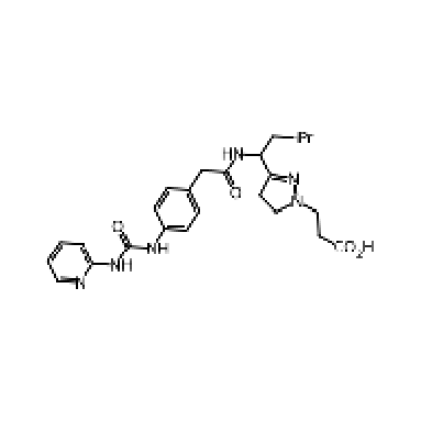 CC(C)CC(NC(=O)Cc1ccc(NC(=O)Nc2ccccn2)cc1)C1=NN(CCC(=O)O)CC1